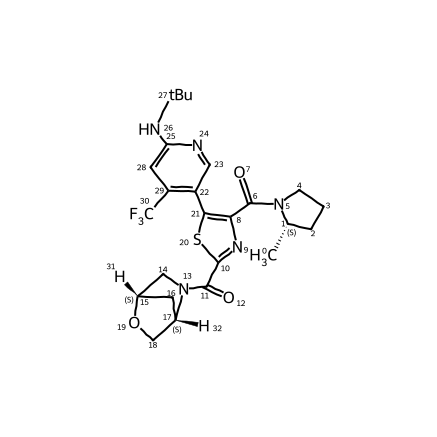 C[C@H]1CCCN1C(=O)c1nc(C(=O)N2C[C@@H]3C[C@H]2CO3)sc1-c1cnc(NC(C)(C)C)cc1C(F)(F)F